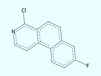 Fc1ccc2c(ccc3c(Cl)nccc32)c1